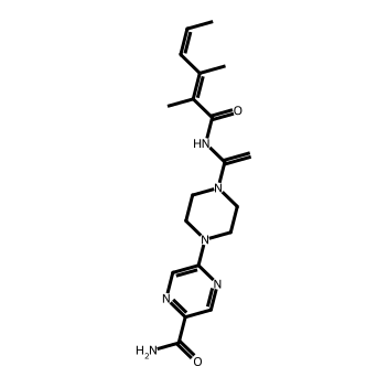 C=C(NC(=O)/C(C)=C(C)/C=C\C)N1CCN(c2cnc(C(N)=O)cn2)CC1